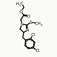 CCOC(=O)CN1CC(Cc2ccc(Cl)cc2Cl)N=C1SC